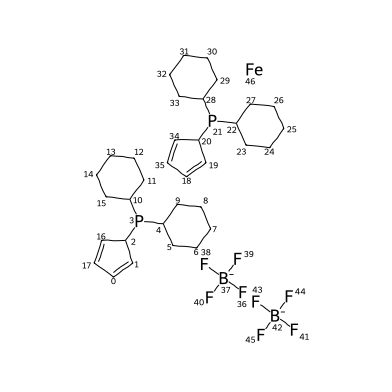 C1=CC(P(C2CCCCC2)C2CCCCC2)C=C1.C1=CC(P(C2CCCCC2)C2CCCCC2)C=C1.F[B-](F)(F)F.F[B-](F)(F)F.[Fe]